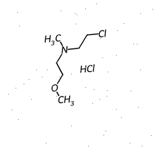 COCCN(C)CCCl.Cl